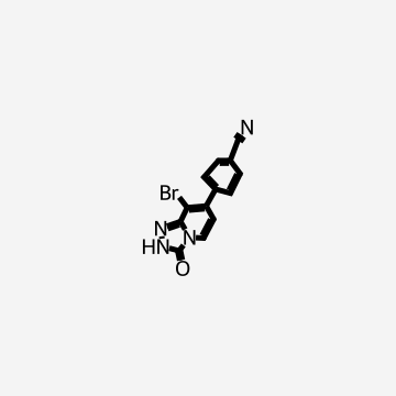 N#Cc1ccc(-c2ccn3c(=O)[nH]nc3c2Br)cc1